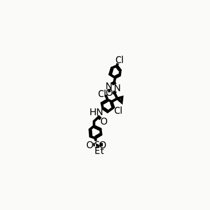 CCS(=O)(=O)c1ccc(CC(=O)Nc2cc(Cl)c(C3(c4nc(-c5ccc(Cl)cc5)no4)CC3)c(Cl)c2)cc1